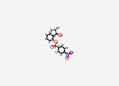 CC1Cc2cccc(OC(=O)c3ccc([N+](=O)[O-])cc3)c2C1=O